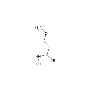 COCCC(=N)NO